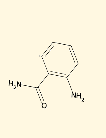 NC(=O)c1[c]cccc1N